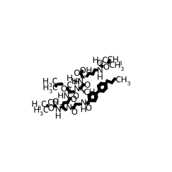 CCCCc1ccc(-c2ccc(C(=O)NCCC(=O)N3C[C@@H](NC(=O)OC(C)(C)C)CC3C(=O)N[C@H](C(=O)N[C@@H](CC)C(=O)N[C@@H](CCCCNC(=O)OC(C)(C)C)C(=O)O)[C@@H](C)OCC(C)C)cc2)cc1